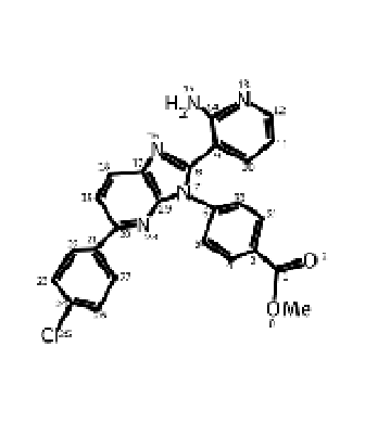 COC(=O)c1ccc(-n2c(-c3cccnc3N)nc3ccc(-c4ccc(Cl)cc4)nc32)cc1